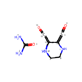 NC(N)=O.O=C=C1NCCNC1=C=O